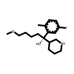 COCCCC[C@@](O)(c1cc(F)ccc1C)C1CCCNC1